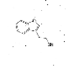 SCCc1coc2ccccc12